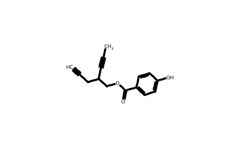 C#CCC(C#CC)COC(=O)c1ccc(O)cc1